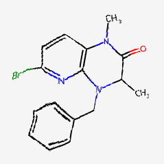 CC1C(=O)N(C)c2ccc(Br)nc2N1Cc1ccccc1